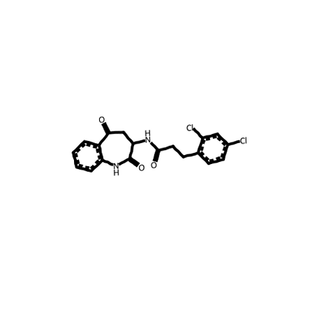 O=C(CCc1ccc(Cl)cc1Cl)NC1CC(=O)c2ccccc2NC1=O